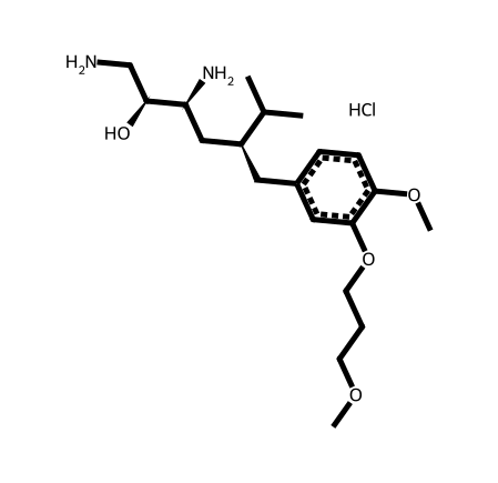 COCCCOc1cc(C[C@@H](C[C@H](N)[C@@H](O)CN)C(C)C)ccc1OC.Cl